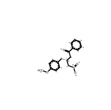 COc1ccc(C[C@H](CC(=O)c2ccccc2)C[N+](=O)[O-])cc1